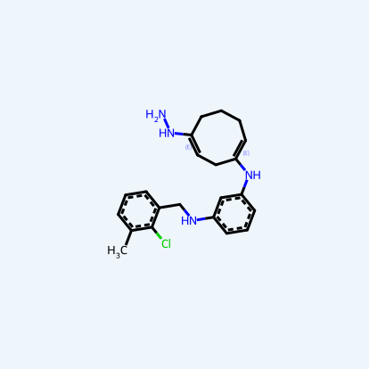 Cc1cccc(CNc2cccc(N/C3=C/CCC/C(NN)=C\C3)c2)c1Cl